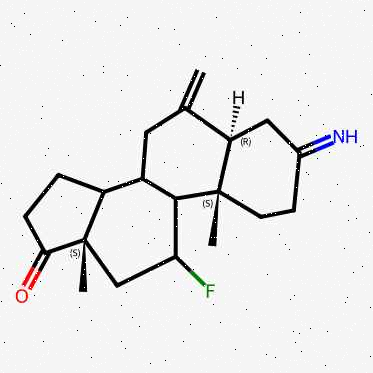 C=C1CC2C3CCC(=O)[C@@]3(C)CC(F)C2[C@@]2(C)CCC(=N)C[C@H]12